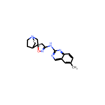 Cc1ccc2nc(NC3=NO[C@@]4(C3)CN3CCC4CC3)ncc2c1